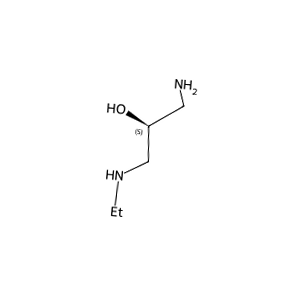 CCNC[C@@H](O)CN